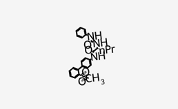 CCC[C@@H](NC(=O)Nc1ccccc1)C(=O)Nc1ccc(-c2ccccc2S(C)(=O)=O)cc1